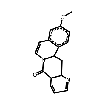 COc1ccc2c(c1)C=CN1C(=O)C3C=CC=NC3CC21